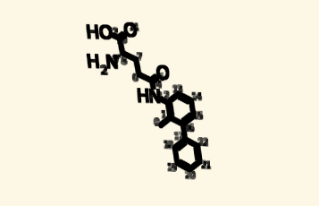 Cc1c(NC(=O)CC[C@H](N)C(=O)O)cccc1-c1ccccc1